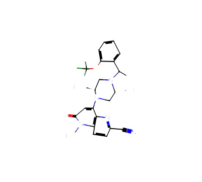 CC(c1ccccc1OC(F)(F)F)N1C[C@H](C)N(c2cc(=O)n(C)c3ccc(C#N)nc23)C[C@H]1C